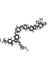 COc1ccc(-c2cn(CCCN)c3ccc(CN4CCC(CN5CCN(c6ccc7c(c6)CN(C6CCC(=O)NC6=O)C7)CC5)CC4)cc23)c(F)c1